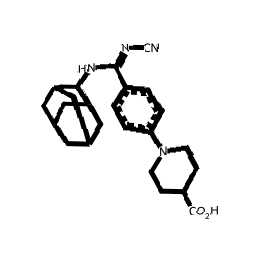 N#C/N=C(/NC1C2CC3CC(C2)CC1C3)c1ccc(N2CCC(C(=O)O)CC2)cc1